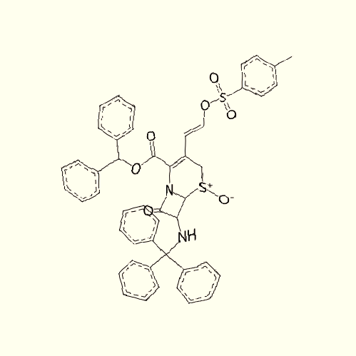 Cc1ccc(S(=O)(=O)OC=CC2=C(C(=O)OC(c3ccccc3)c3ccccc3)N3C(=O)C(NC(c4ccccc4)(c4ccccc4)c4ccccc4)C3[S+]([O-])C2)cc1